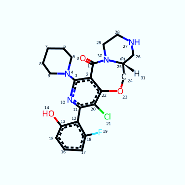 O=C1c2c(N3CCCCC3)nc(-c3c(O)cccc3F)c(Cl)c2OC[C@H]2CNCCN12